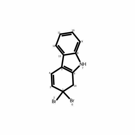 BrC1(Br)C=Cc2c([nH]c3ccccc23)C1